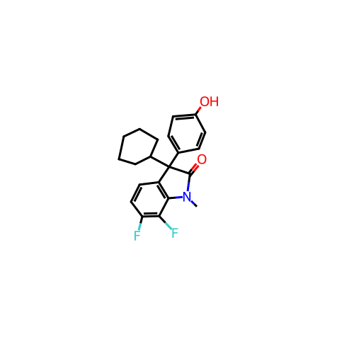 CN1C(=O)C(c2ccc(O)cc2)(C2CCCCC2)c2ccc(F)c(F)c21